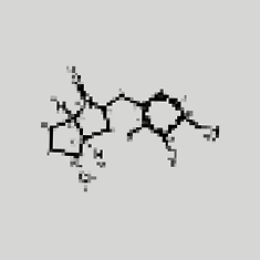 Cc1c(CC2C[C@H]3[C@H](O)CC[C@@H]3[N+]2=O)ccc(C#N)c1Cl